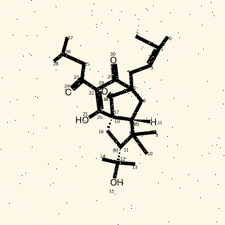 CC(C)=CCC12C[C@@H]3C(C)(C)[C@H](C(C)(C)O)C[C@@]3(C1=O)C(O)=C(C(=O)CC(C)C)C2=O